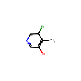 Cc1c(O)cncc1Br